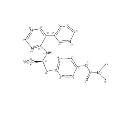 CN(C)C(=O)Oc1ccc(C[C@H](Nc2ncncc2-c2cccnc2)C(=O)O)cc1